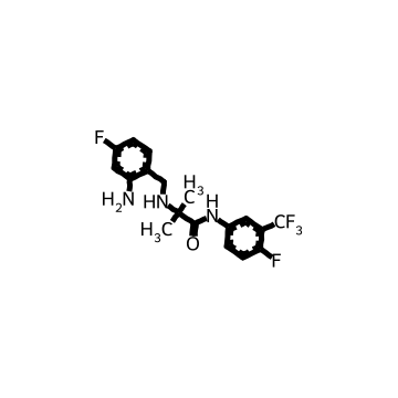 CC(C)(NCc1ccc(F)cc1N)C(=O)Nc1ccc(F)c(C(F)(F)F)c1